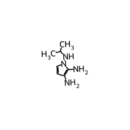 CC(C)Nn1ccc(N)c1N